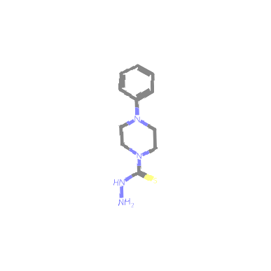 NNC(=S)N1CCN(c2ccccc2)CC1